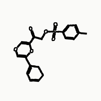 Cc1ccc(S(=O)(=O)OCC(=O)C2=COC=C(C3=CC=CCC3)O2)cc1